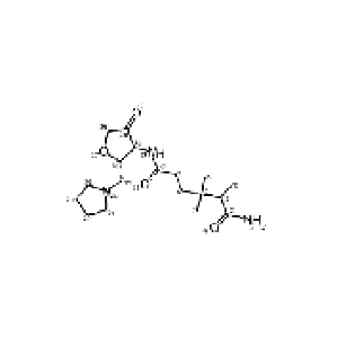 CC(C(N)=O)C(C)(C)C[CH]C(=O)NC1C(=O)CO[C@H]1CN1CCCC1